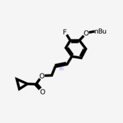 CCCCOc1ccc(/C=C/COC(=O)C2CC2)cc1F